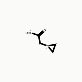 O=[C]C(=O)CN1CC1